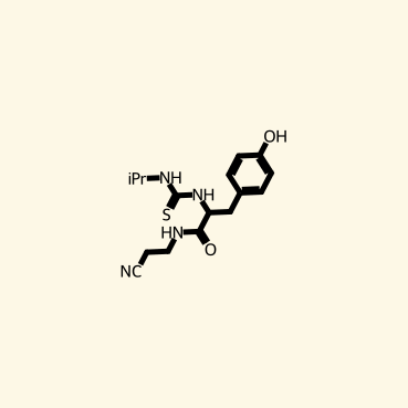 CC(C)NC(=S)NC(Cc1ccc(O)cc1)C(=O)NCCC#N